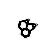 C1=CC2OC23c2c1cccc2C1OC13